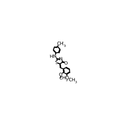 COc1cccc(C=C2SC(Nc3ccc(C)cc3)=NC2=O)c1OC